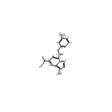 CC(C)c1cnn2c(NCc3cccc([N+](=O)[O-])c3)cc(C(C)F)nc12